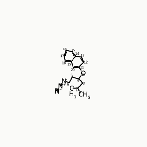 CC(C)CC(CCN=[N+]=[N-])Oc1ccc2ccccc2c1